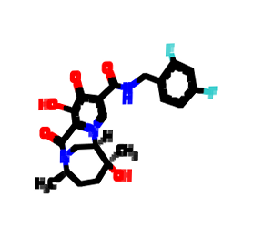 C[C@@H]1CC[C@](C)(O)[C@H]2CN1C(=O)c1c(O)c(=O)c(C(=O)NCc3ccc(F)cc3F)cn12